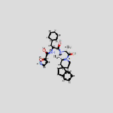 CC[C@H](C)[C@@H](C(=O)N1CCC2(C=Cc3ccccc32)CC1)N(C)C(=O)C(CC1CCCCC1)NC(=O)c1ccno1